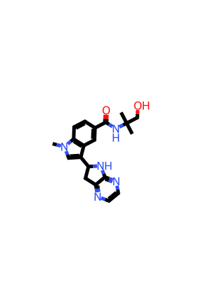 Cn1cc(C2Cc3nccnc3N2)c2cc(C(=O)NC(C)(C)CO)ccc21